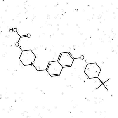 CC(C)(C)[C@H]1CC[C@H](Oc2ccc3cc(CN4CCC(OC(=O)O)CC4)ccc3c2)CC1